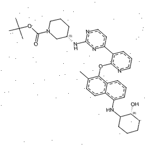 Cc1ccc2c(NC3CCCC[C@H]3O)cccc2c1Oc1ncccc1-c1ccnc(N[C@H]2CCCN(C(=O)OC(C)(C)C)C2)n1